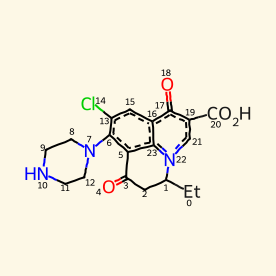 CCC1CC(=O)c2c(N3CCNCC3)c(Cl)cc3c(=O)c(C(=O)O)cn1c23